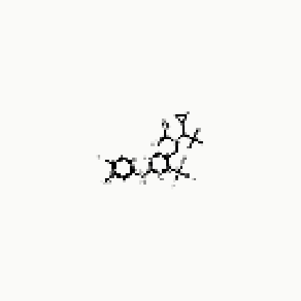 CC(C)(C)C(C1CC1)N(Cc1cnc(Nc2ccc(F)c(Cl)c2)nc1C(F)(F)F)C(=O)O